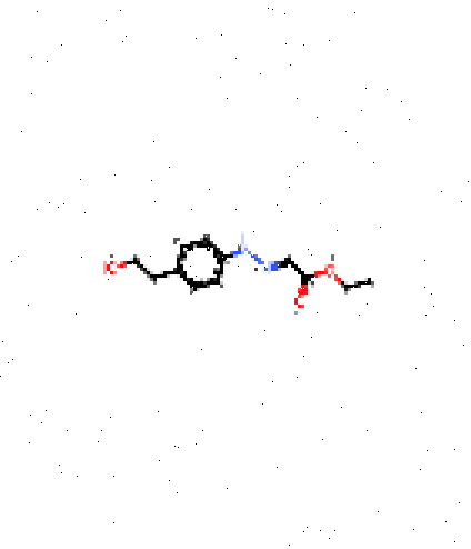 CCOC(=O)C=NNc1ccc(CCO)cc1